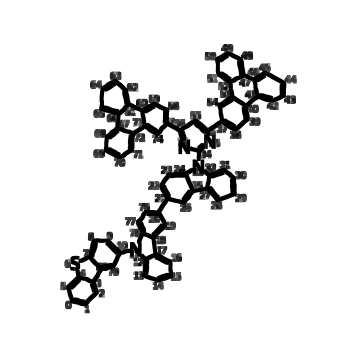 c1ccc2c(c1)sc1ccc(-n3c4ccccc4c4cc(-c5ccc6c(c5)c5ccccc5n6-c5nc(-c6ccc7c8ccccc8c8ccccc8c7c6)cc(-c6ccc7c8ccccc8c8ccccc8c7c6)n5)ccc43)cc12